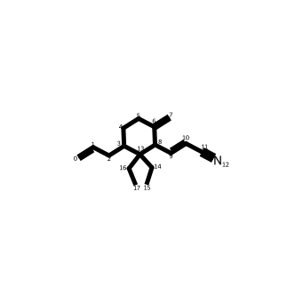 C=CCC1CCC(=C)C(/C=C/C#N)C1(CC)CC